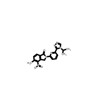 Cc1ccc2c(c1[N+](=O)[O-])CN(c1cccc(-c3nncn3C(C)C)n1)C2=O